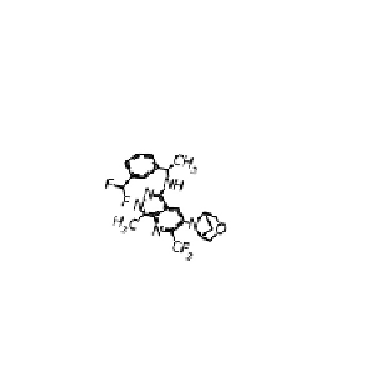 Cc1nnc(N[C@H](C)c2cccc(C(F)F)c2)c2cc(N3C4COCC3C4)c(C(F)(F)F)nc12